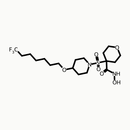 O=C(NO)C1(S(=O)(=O)N2CCC(OCCCCCCC(F)(F)F)CC2)CCOCC1